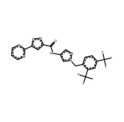 O=C(Nc1cnn(Cc2ccc(C(F)(F)F)cc2C(F)(F)F)c1)c1cc(-c2ncccn2)on1